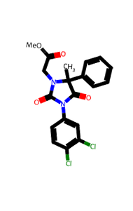 COC(=O)CN1C(=O)N(c2ccc(Cl)c(Cl)c2)C(=O)C1(C)c1cc[c]cc1